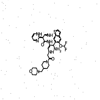 N=C/C(C(=O)N/C(=C/NCC(=O)N1CCC(CN2CCOCC2)CC1)C(N)c1cc2sccc2cc1OC(F)F)=C1/N=CC=CN1